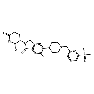 CS(=O)(=O)c1cccc(CN2CCC(c3cc4c(cc3F)C(=O)N(C3CCC(=O)NC3=O)C4)CC2)n1